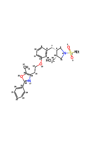 CCS(=O)(=O)N1C[C@@H](Cc2cccc(OCCc3nc(-c4ccccc4)oc3C)c2)[C@@H](C(=O)O)C1